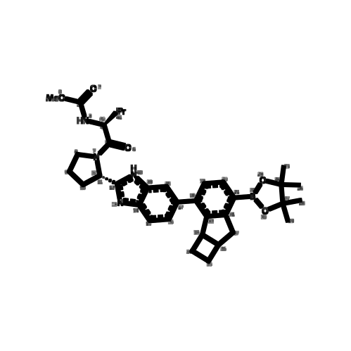 COC(=O)N[C@H](C(=O)N1CCC[C@H]1c1nc2ccc(-c3ccc(B4OC(C)(C)C(C)(C)O4)c4c3C3CCC3C4)cc2[nH]1)C(C)C